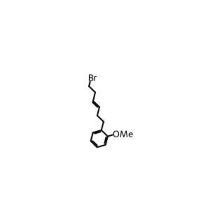 COc1ccccc1CCC=CCCBr